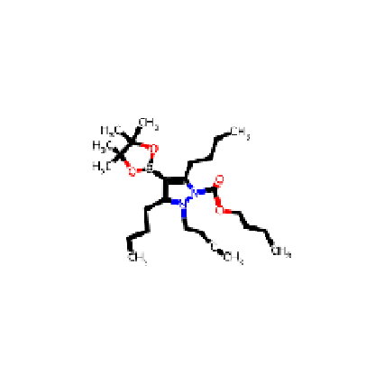 CCCCOC(=O)N1C(CCCC)=C(B2OC(C)(C)C(C)(C)O2)C(CCCC)N1CCCC